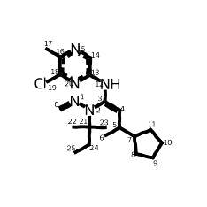 C=NN(/C(=C\C(C)C1CCCC1)Nc1cnc(C)c(Cl)n1)C(C)(C)CC